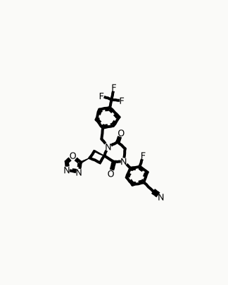 N#Cc1ccc(N2CC(=O)N(Cc3ccc(C(F)(F)F)cc3)[C@]3(C[C@H](c4nnco4)C3)C2=O)c(F)c1